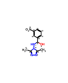 Cc1nnc(C)n1NC(O)c1cccc([N+](=O)[O-])c1